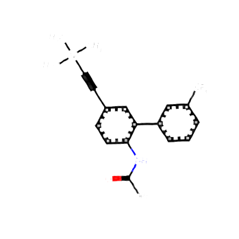 CC(C)C(=O)Nc1ccc(C#C[Si](C)(C)C)cc1-c1cccc(C(F)(F)F)c1